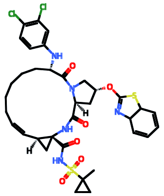 CC1(S(=O)(=O)NC(=O)[C@@]23C[C@H]2/C=C\CCCCC[C@H](Nc2ccc(Cl)c(Cl)c2)C(=O)N2C[C@H](OC4=NC5C=CC=CC5S4)C[C@H]2C(=O)N3)CC1